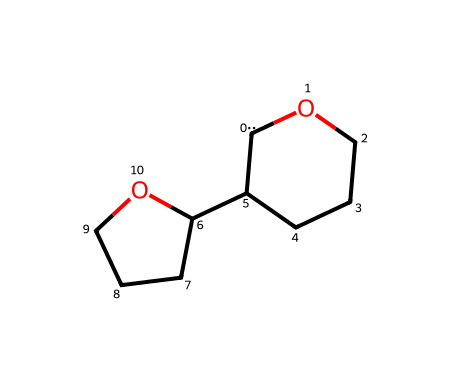 [C]1OCCCC1C1CCCO1